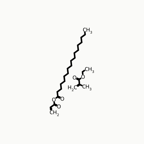 C=C(C)C(=O)OCC.C=CC(=O)OC(=O)CCCCCCCCCCCCCCCCC